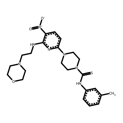 Cc1cccc(NC(=S)N2CCN(c3ccc([N+](=O)[O-])c(NCCN4CCOCC4)n3)CC2)c1